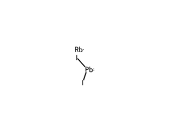 [I][Pb][I].[Rb]